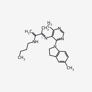 C=C(NCCCC)/C(C)=N/c1c(C)ncnc1N1CCc2cc(C)ccc21